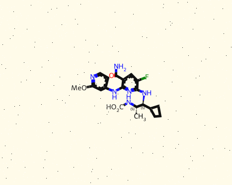 COc1cc(Nc2nc(N[C@@H](C3CCC3)[C@H](C)NC(=O)O)c(F)cc2C(N)=O)ccn1